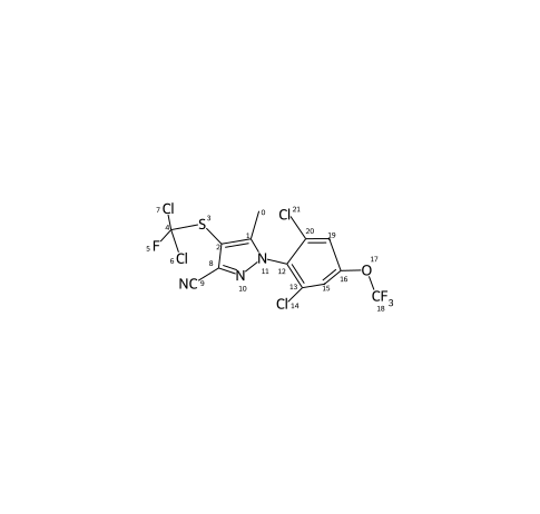 Cc1c(SC(F)(Cl)Cl)c(C#N)nn1-c1c(Cl)cc(OC(F)(F)F)cc1Cl